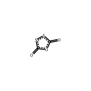 O=c1oc(=O)ss1